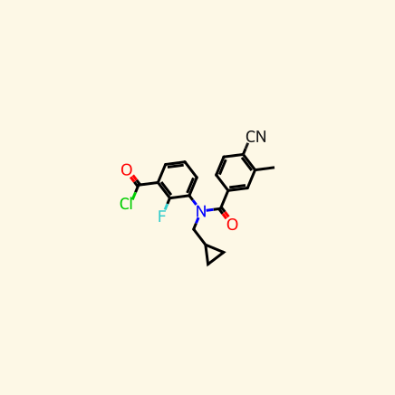 Cc1cc(C(=O)N(CC2CC2)c2cccc(C(=O)Cl)c2F)ccc1C#N